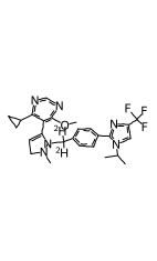 [2H]C([2H])(c1ccc(-c2nc(C(F)(F)F)cn2C(C)C)cc1)N1C(c2c(OC)ncnc2C2CC2)=CCN1C